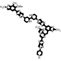 COc1c(-c2nc3cn(C4CCNC(C5CC(n6cc7nc(-c8cc9oc(C)nc9c(Cc9nc(-c%10nc%11cn(C%12CCNCC%12)nc%11s%10)cn%10cc(C)nc9%10)c8O)sc7n6)CCN5)C4)nc3s2)cc2cn(C)nc2c1C